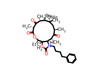 CC[C@H]1OC(=O)[C@H](C)C(=O)[C@H](C)[C@@H](C(C)(C)C)[C@](C)(OC)C[C@@H](C)C(=O)[C@H](C)[C@H]2N(CCCCc3ccccc3)C(=O)O[C@]12C